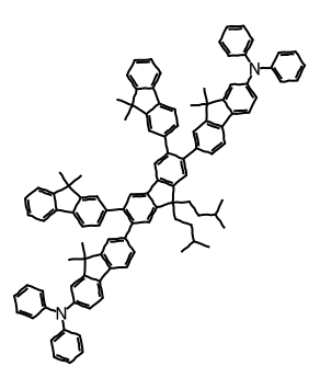 CC(C)CCC1(CCC(C)C)c2cc(-c3ccc4c(c3)C(C)(C)c3cc(N(c5ccccc5)c5ccccc5)ccc3-4)c(-c3ccc4c(c3)C(C)(C)c3ccccc3-4)cc2-c2cc(-c3ccc4c(c3)C(C)(C)c3ccccc3-4)c(-c3ccc4c(c3)C(C)(C)c3cc(N(c5ccccc5)c5ccccc5)ccc3-4)cc21